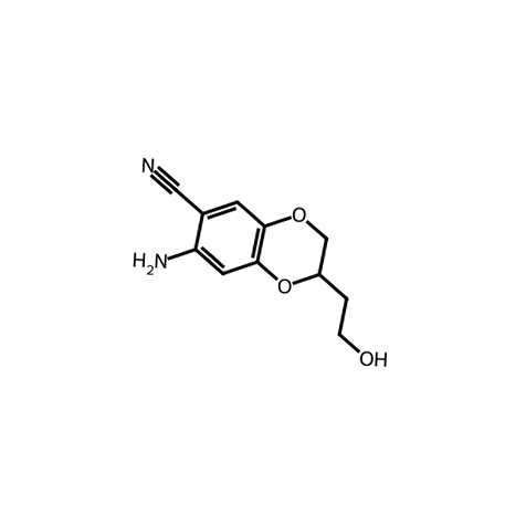 N#Cc1cc2c(cc1N)OC(CCO)CO2